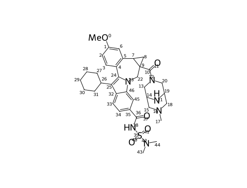 COc1ccc2c(c1)C1CC1(C(=O)N1CC3CN(C)CC(C1)N3)Cn1c-2c(C2CCCCC2)c2ccc(C(=O)NS(=O)(=O)N(C)C)cc21